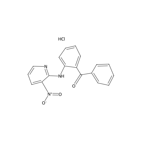 Cl.O=C(c1ccccc1)c1ccccc1Nc1ncccc1[N+](=O)[O-]